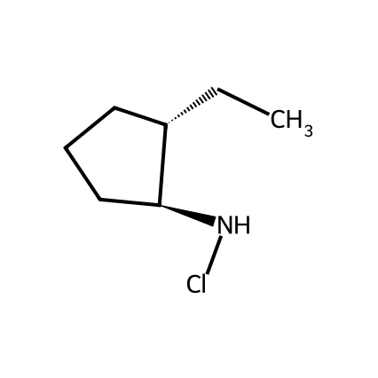 CC[C@H]1CCC[C@@H]1NCl